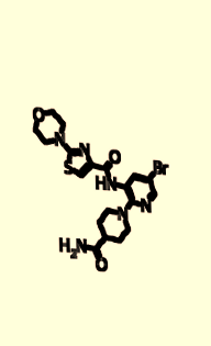 NC(=O)C1CCN(c2ncc(Br)cc2NC(=O)c2csc(N3CCOCC3)n2)CC1